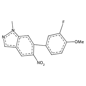 COc1ccc(-c2cc3c(cnn3C)cc2[N+](=O)[O-])cc1F